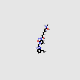 CC(C)Cc1cccc2[nH]c(Cn3cccc(NC(=O)CCC/C=C/C(=O)N(C)C)c3=O)nc12